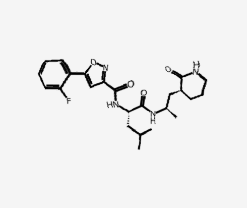 CC(C)C[C@H](NC(=O)c1cc(-c2ccccc2F)on1)C(=O)N[C@H](C)C[C@@H]1CCCNC1=O